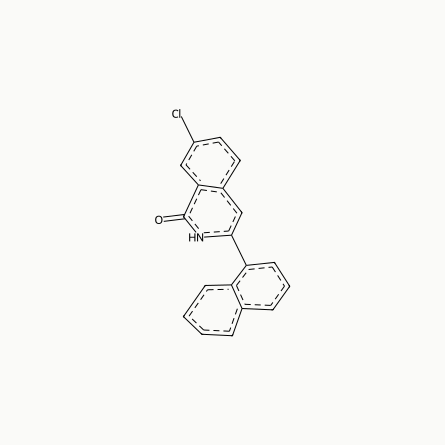 O=c1[nH]c(-c2cccc3ccccc23)cc2ccc(Cl)cc12